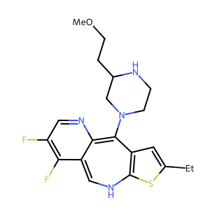 CCc1cc2c(s1)NC=c1c(F)c(F)cnc1=C2N1CCNC(CCOC)C1